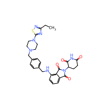 CCc1nsc(N2CCN(Cc3ccc(CNc4cccc5c4C(=O)N(C4CCC(=O)NC4=O)C5=O)cc3)CC2)n1